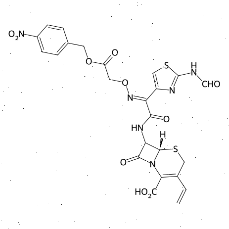 C=CC1=C(C(=O)O)N2C(=O)C(NC(=O)C(=NOCC(=O)OCc3ccc([N+](=O)[O-])cc3)c3csc(NC=O)n3)[C@@H]2SC1